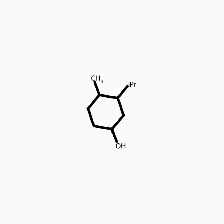 CC(C)C1CC(O)CCC1C